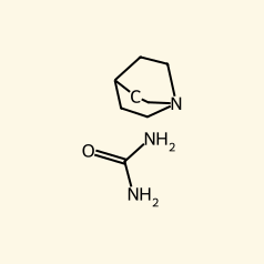 C1CN2CCC1CC2.NC(N)=O